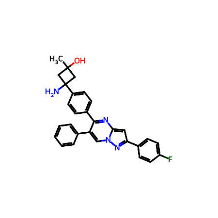 CC1(O)CC(N)(c2ccc(-c3nc4cc(-c5ccc(F)cc5)nn4cc3-c3ccccc3)cc2)C1